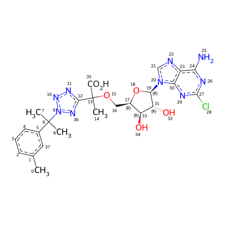 Cc1cccc(C(C)(C)n2nnc(C(C)(OC[C@H]3O[C@@H](n4cnc5c(N)nc(Cl)nc54)[C@H](O)[C@H]3O)C(=O)O)n2)c1